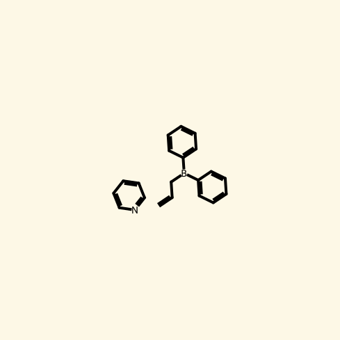 C=CCB(c1ccccc1)c1ccccc1.c1ccncc1